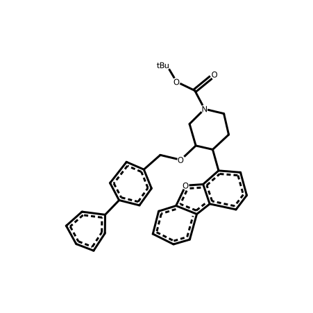 CC(C)(C)OC(=O)N1CCC(c2cccc3c2oc2ccccc23)C(OCc2ccc(-c3ccccc3)cc2)C1